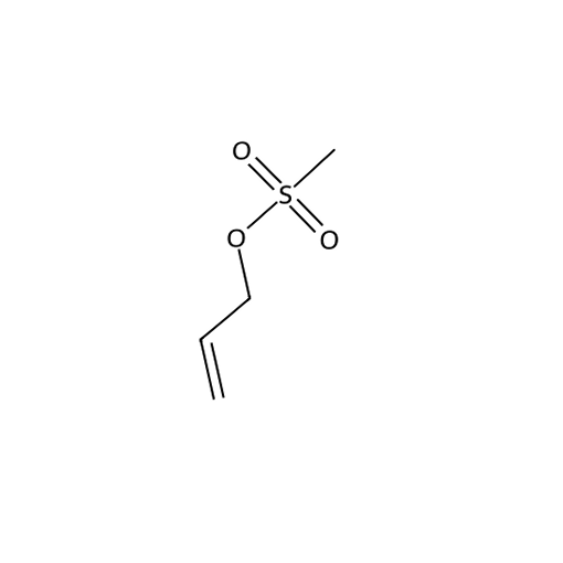 C=CCOS(C)(=O)=O